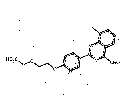 Cc1cccc2c(C=O)nc(-c3ccc(OCCOCC(=O)O)nc3)nc12